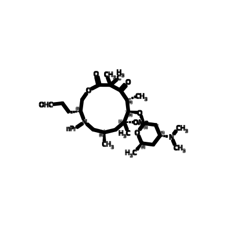 CCCN1C[C@H](C)C[C@@](C)(OC)[C@H](O[C@H]2[CH][C@H](N(C)C)C[C@@H](C)O2)[C@@H](C)C(=O)C(C)(C)C(=O)OC[C@H]1CCC=O